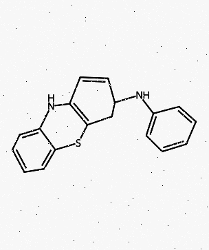 C1=CC(Nc2ccccc2)CC2=C1Nc1ccccc1S2